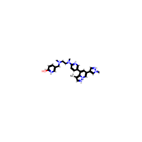 CN(CCN(C)c1ccc(-c2cc(-c3cnn(C)c3)cn3ncc(C#N)c23)cn1)Cc1ccc(O)nc1